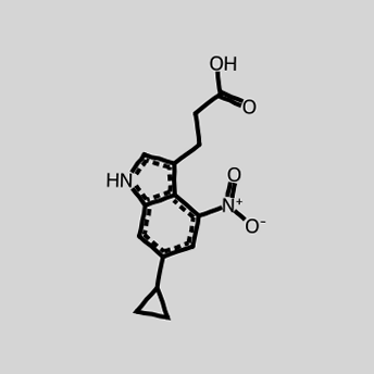 O=C(O)CCc1c[nH]c2cc(C3CC3)cc([N+](=O)[O-])c12